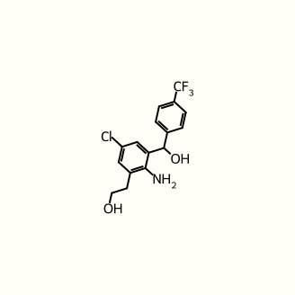 Nc1c(CCO)cc(Cl)cc1C(O)c1ccc(C(F)(F)F)cc1